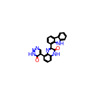 O=c1[nH]nncc1-c1cccc2[nH]c(=O)c(-c3cccc4c3[nH]c3ccccc34)nc12